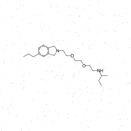 CCCc1ccc2c(c1)CN(CCOCCOCCNC(C)CC)C2